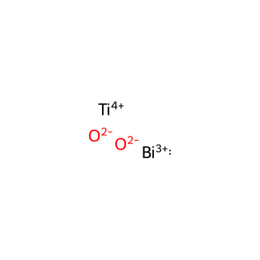 [Bi+3].[O-2].[O-2].[Ti+4]